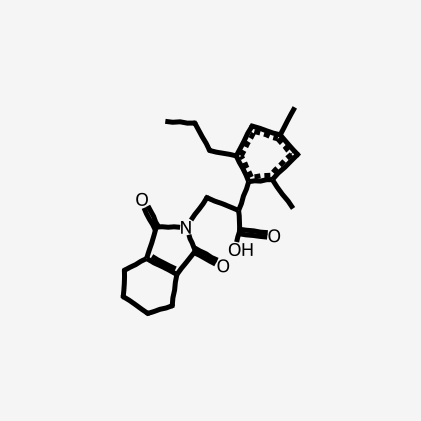 CCCc1cc(C)cc(C)c1C(CN1C(=O)C2=C(CCCC2)C1=O)C(=O)O